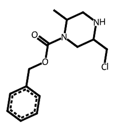 CC1CNC(CCl)CN1C(=O)OCc1ccccc1